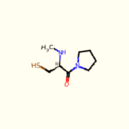 CN[C@H](CS)C(=O)N1CCCC1